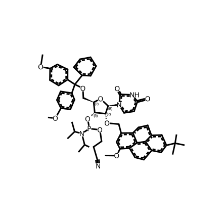 COc1ccc(C(OC[C@H]2O[C@@H](n3ccc(=O)[nH]c3=O)[C@H](OCc3cc(OC)c4ccc5cc(C(C)(C)C)cc6ccc3c4c65)[C@@H]2OP(OCCC#N)N(C(C)C)C(C)C)(c2ccccc2)c2ccc(OC)cc2)cc1